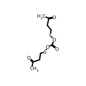 CC(=O)CCSOC(=O)OSCCC(C)=O